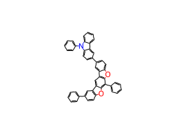 c1ccc(-c2ccc3oc4c(-c5ccccc5)c5oc6ccc(-c7ccc8c(c7)c7ccccc7n8-c7ccccc7)cc6c5cc4c3c2)cc1